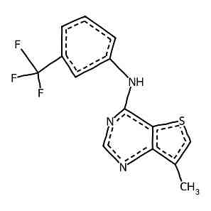 Cc1csc2c(Nc3cccc(C(F)(F)F)c3)ncnc12